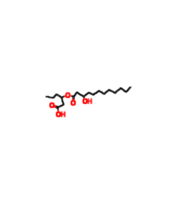 CCCCCCCCCC(O)CC(=O)OC(CCC)CC(=O)O